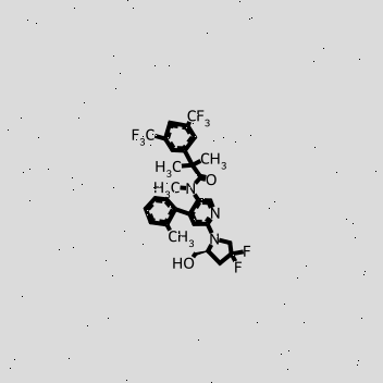 Cc1ccccc1-c1cc(N2CC(F)(F)C[C@H]2CO)ncc1N(C)C(=O)C(C)(C)c1cc(C(F)(F)F)cc(C(F)(F)F)c1